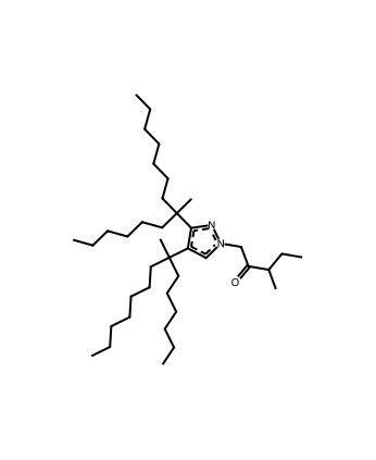 CCCCCCCC(C)(CCCCCC)c1cn(CC(=O)C(C)CC)nc1C(C)(CCCCCC)CCCCCCC